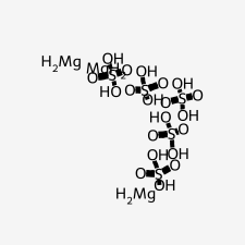 O=S(=O)(O)O.O=S(=O)(O)O.O=S(=O)(O)O.O=S(=O)(O)O.O=S(=O)(O)O.[MgH2].[MgH2].[MgH2]